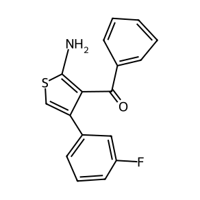 Nc1scc(-c2cccc(F)c2)c1C(=O)c1ccccc1